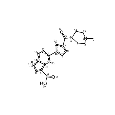 CN1CCN(C(=O)c2ccc(-c3cnc4[nH]cc(C(=O)O)c4n3)s2)CC1